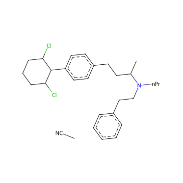 CC#N.CCCN(CCc1ccccc1)C(C)CCc1ccc(C2C(Cl)CCCC2Cl)cc1